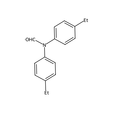 CCc1ccc(N([C]=O)c2ccc(CC)cc2)cc1